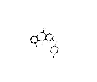 Cc1cccc2c1Nc1nc(NC3CCN(C)CC3)ncc1C(=O)N2